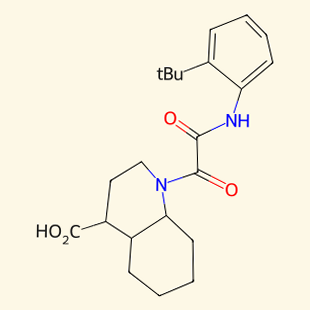 CC(C)(C)c1ccccc1NC(=O)C(=O)N1CCC(C(=O)O)C2CCCCC21